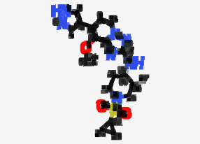 CCOc1c(-c2cn[nH]c2)ccn2nc(N[C@H]3CCN(S(=O)(=O)C4CC4)C[C@H]3C)nc12